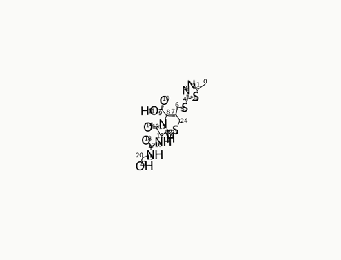 Cc1nnc(SCC2=C(C(=O)O)N3C(=O)C(NC(=O)NCO)[C@H]3SC2)s1